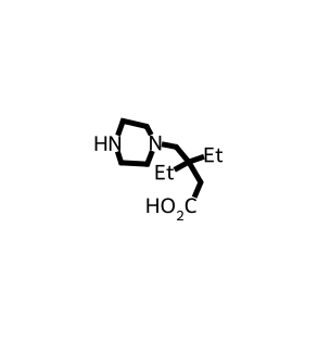 CCC(CC)(CC(=O)O)CN1CCNCC1